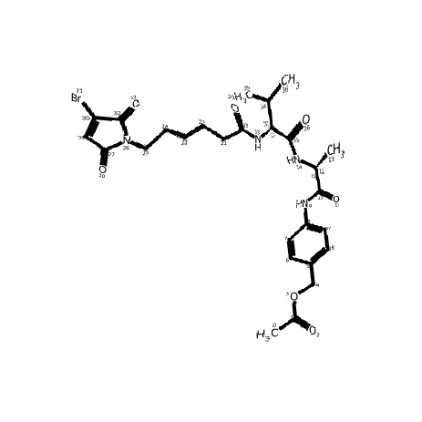 CC(=O)OCc1ccc(NC(=O)[C@H](C)NC(=O)[C@@H](NC(=O)CCCCCN2C(=O)C=C(Br)C2=O)C(C)C)cc1